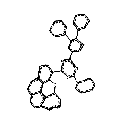 c1ccc(-c2nc(-c3ccc(-c4ccccc4)c(-c4ccccc4)c3)nc(-c3ccc4ccc5ccc6cccc7c6c5c4c3O7)n2)cc1